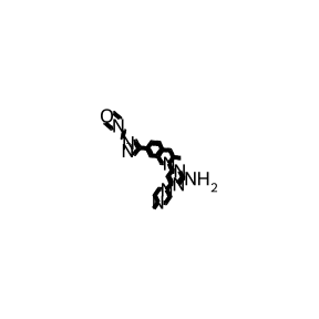 CC1Cc2ccc(-c3cnn(CCN4CCOCC4)c3)cc2CN1c1cc(N2CCN(C)CC2)nc(N)n1